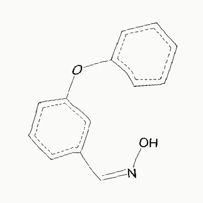 O/N=C\c1cccc(Oc2ccccc2)c1